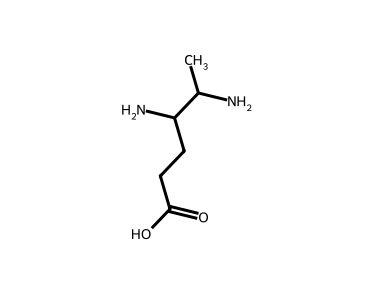 CC(N)C(N)CCC(=O)O